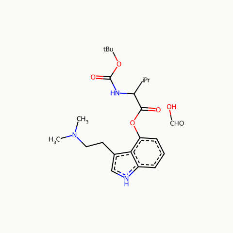 CC(C)C(NC(=O)OC(C)(C)C)C(=O)Oc1cccc2[nH]cc(CCN(C)C)c12.O=CO